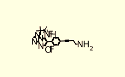 C[C@@H](Nc1c(-c2c(F)cc(C#CCCN)cc2F)c(Cl)nc2ncnn12)C(C)(C)C